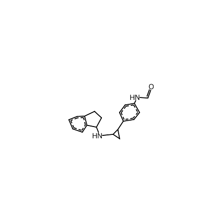 O=CNc1ccc(C2CC2NC2CCc3ccccc32)cc1